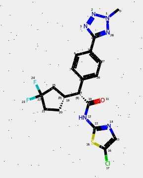 Cn1nnc(-c2ccc([C@H](C(=O)Nc3ncc(Cl)s3)[C@@H]3CCC(F)(F)C3)cc2)n1